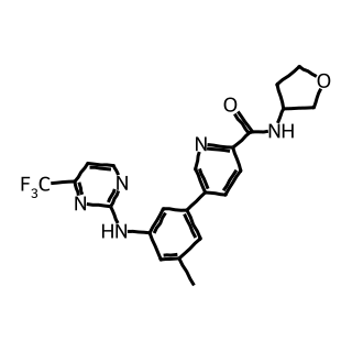 Cc1cc(Nc2nccc(C(F)(F)F)n2)cc(-c2ccc(C(=O)NC3CCOC3)nc2)c1